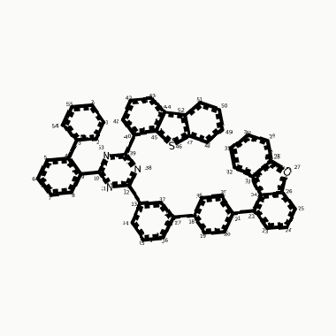 c1ccc(-c2ccccc2-c2nc(-c3cccc(-c4ccc(-c5cccc6oc7ccccc7c56)cc4)c3)nc(-c3cccc4c3sc3ccccc34)n2)cc1